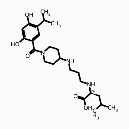 CC(C)C[C@H](NCCCNC1CCN(C(=O)c2cc(C(C)C)c(O)cc2O)CC1)C(=O)O